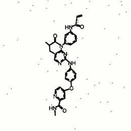 C=CC(=O)Nc1cccc(N2C(=O)C(C)Cc3cnc(Nc4ccc(Oc5ccnc(C(=O)NC)c5)cc4)nc32)c1